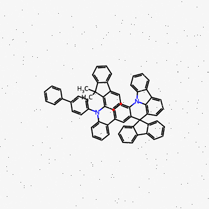 CC1(C)c2ccccc2-c2cccc(N(c3ccc(-c4ccccc4)cc3)c3ccccc3-c3ccc4c(c3)C3(c5ccccc5-c5ccccc53)c3cccc5c6ccccc6n-4c35)c21